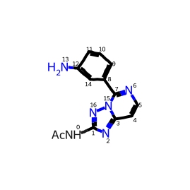 CC(=O)Nc1nc2ccnc(-c3cccc(N)c3)n2n1